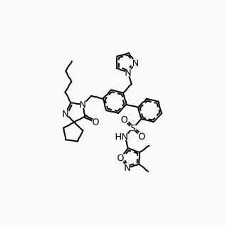 CCCCC1=NC2(CCCC2)C(=O)N1Cc1ccc(-c2ccccc2S(=O)(=O)Nc2onc(C)c2C)c(Cn2cccn2)c1